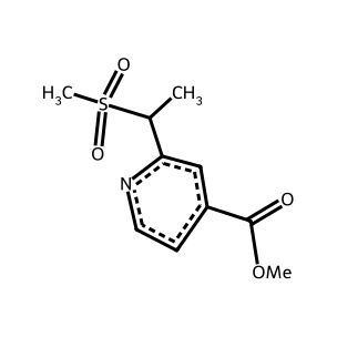 COC(=O)c1ccnc(C(C)S(C)(=O)=O)c1